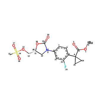 CC(C)(C)OC(=O)C1(c2ccc(N3C[C@H](COS(C)(=O)=O)OC3=O)cc2F)CC1